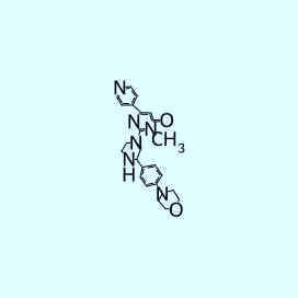 Cn1c(N2CCNC(c3ccc(N4CCOCC4)cc3)C2)nc(-c2ccncc2)cc1=O